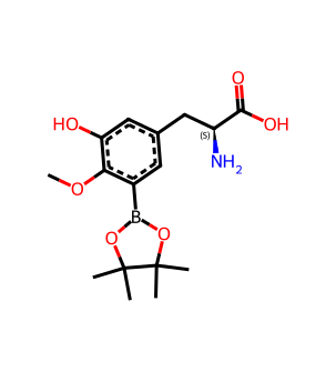 COc1c(O)cc(C[C@H](N)C(=O)O)cc1B1OC(C)(C)C(C)(C)O1